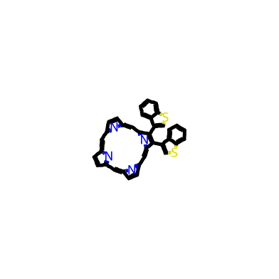 C1=CC2=NC1=CC1=NC(=CC3=NC(=CC4=NC(=C2)C=C4)C(c2csc4ccccc24)=C3c2csc3ccccc23)C=C1